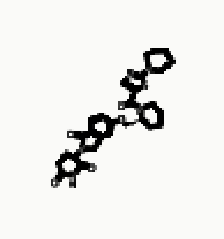 O=C1CCC(N2Cc3cc(OC[C@H]4CCCCN4C(=O)c4cnc(N5CCCCC5)s4)ccc3C2=O)C(=O)N1